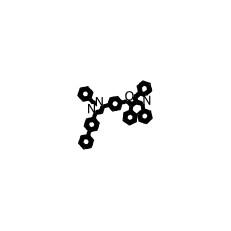 c1ccc(-c2ccc(-c3cc(-c4ccc(-c5oc6c(c(-c7ccccc7)nc7ccccc76)c5-c5ccccc5)cc4)nc(-c4ccccc4)n3)cc2)cc1